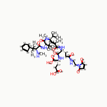 CN[C@H](C(=O)N[C@H](C(=O)N(C)[C@H](/C=C(\C)C(=O)N[C@H](CCC(=O)NCCN1C(=O)C=CC1=O)C(=O)N[C@H](CCC(=O)O)C(=O)O)C(C)C)C(C)(C)C)C(C)(C)c1ccccc1